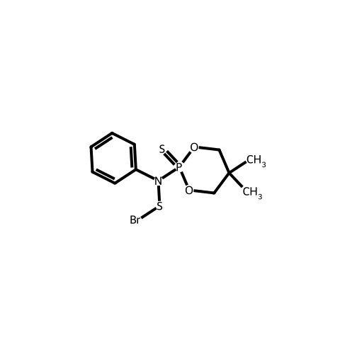 CC1(C)COP(=S)(N(SBr)c2ccccc2)OC1